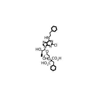 C#C[C@@H](O)[C@@H](O[C@@H](CO)COC(Cc1ccccc1)(C(=O)O)C(=O)O)n1cnc2c(NCCc3ccccc3)nc(Cl)nc21